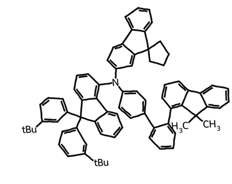 CC(C)(C)c1cccc(C2(c3cccc(C(C)(C)C)c3)c3ccccc3-c3c(N(c4ccc(-c5ccccc5-c5cccc6c5C(C)(C)c5ccccc5-6)cc4)c4ccc5c(c4)C4(CCCC4)c4ccccc4-5)cccc32)c1